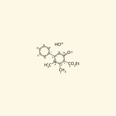 CCOC(=O)c1c(C)n(C)c(-c2ccccc2)cc1=O.Cl